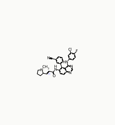 CN1CCCC1/C=C/C(=O)Nc1ccc2ncnc(Nc3ccc(F)c(Cl)c3)c2c1-c1cccc(C#N)c1